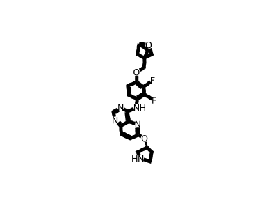 Fc1c(Nc2ncnc3ccc(O[C@H]4CCNC4)nc23)ccc(OCC23COC(C2)C3)c1F